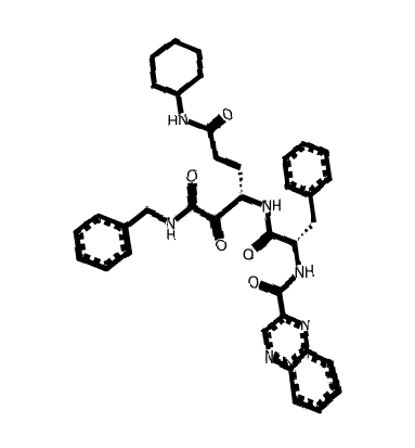 O=C(CC[C@H](NC(=O)[C@H](Cc1ccccc1)NC(=O)c1cnc2ccccc2n1)C(=O)C(=O)NCc1ccccc1)NC1CCCCC1